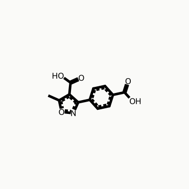 Cc1onc(-c2ccc(C(=O)O)cc2)c1C(=O)O